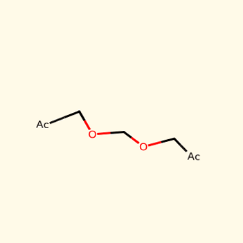 CC(=O)COCOCC(C)=O